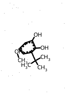 CC(C)(C)c1cccc(O)c1O.CO